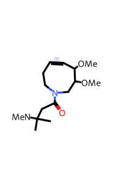 CNC(C)(C)CC(=O)N1CC/C=C\C(OC)C(OC)C1